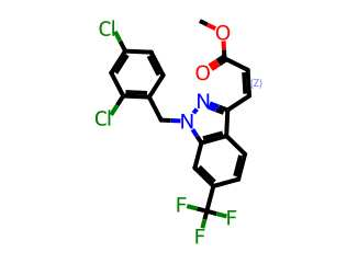 COC(=O)/C=C\c1nn(Cc2ccc(Cl)cc2Cl)c2cc(C(F)(F)F)ccc12